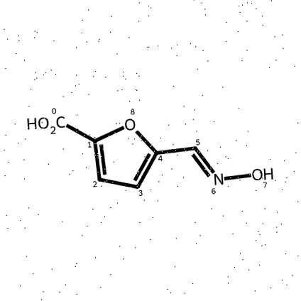 O=C(O)c1ccc(C=NO)o1